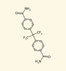 NC(=O)c1ccc(C(c2ccc(C(N)=O)cc2)(C(F)(F)F)C(F)(F)F)cc1